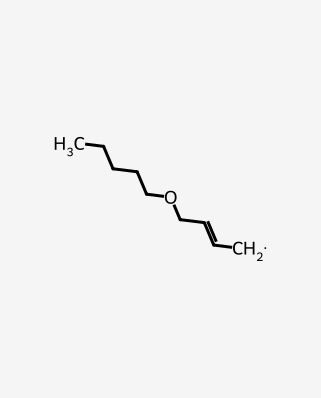 [CH2]C=CCOCCCCC